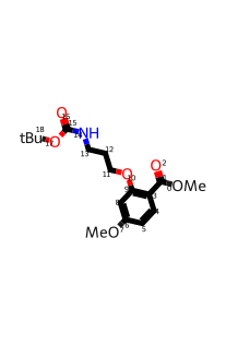 COC(=O)c1ccc(OC)cc1OCCCNC(=O)OC(C)(C)C